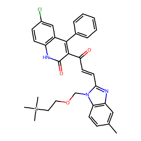 Cc1ccc2c(c1)nc(C=CC(=O)c1c(-c3ccccc3)c3cc(Cl)ccc3[nH]c1=O)n2COCC[Si](C)(C)C